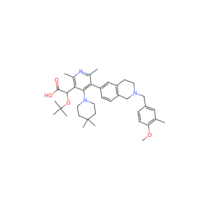 COc1ccc(CN2CCc3cc(-c4c(C)nc(C)c(C(OC(C)(C)C)C(=O)O)c4N4CCC(C)(C)CC4)ccc3C2)cc1C